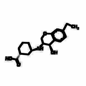 CCc1ccc2c(c1)OC[C@H](N[C@@H]1CCC[C@@H](C(=O)O)C1)[C@@H]2O